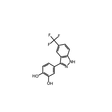 Oc1ccc(-c2n[nH]c3ccc(C(F)(F)F)cc23)cc1O